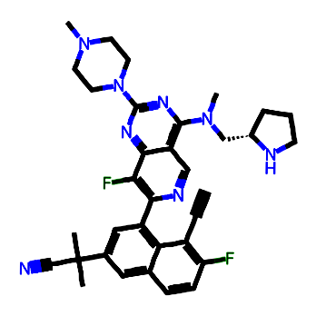 C#Cc1c(F)ccc2cc(C(C)(C)C#N)cc(-c3ncc4c(N(C)C[C@@H]5CCCN5)nc(N5CCN(C)CC5)nc4c3F)c12